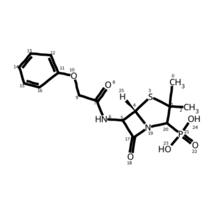 CC1(C)S[C@H]2C(NC(=O)COc3ccccc3)C(=O)N2C1P(=O)(O)O